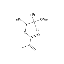 C=C(C)C(=O)OC(CCC)[Si](CC)(CCC)OC